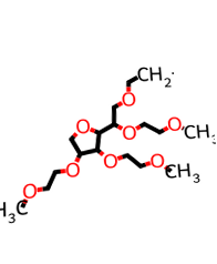 [CH2]COCC(OCCOC)C1OCC(OCCOC)C1OCCOC